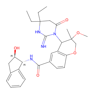 CCC1(CC)CC(=O)N(C2c3cc(C(=O)N[C@@H]4c5ccccc5C[C@H]4O)ccc3OCC2(C)OC)C(=N)N1